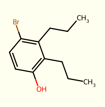 CCCc1c(O)ccc(Br)c1CCC